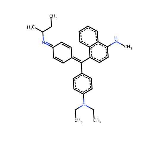 CCC(C)N=C1C=CC(=C(c2ccc(N(CC)CC)cc2)c2ccc(NC)c3ccccc23)C=C1